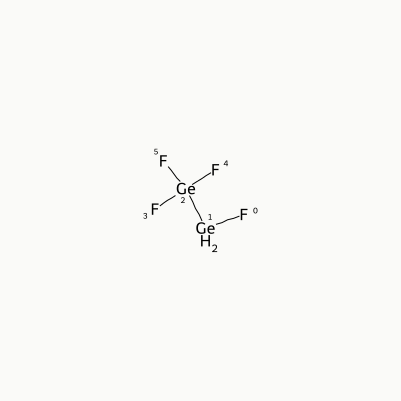 [F][GeH2][Ge]([F])([F])[F]